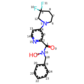 O=C(c1cc(N2CCCC(F)(F)C2)ccn1)N(O)Cc1ccccc1